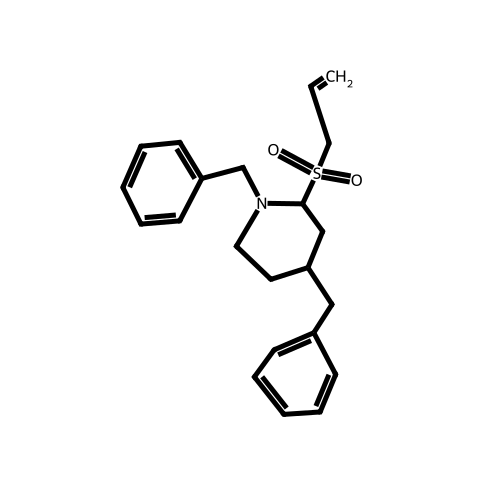 C=CCS(=O)(=O)C1CC(Cc2ccccc2)CCN1Cc1ccccc1